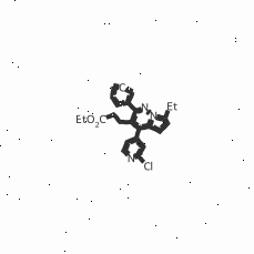 CCOC(=O)CCc1c(-c2ccccc2)nn2c(CC)ccc2c1-c1ccnc(Cl)c1